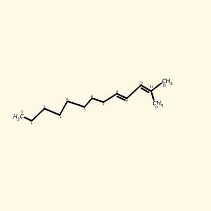 CCCCCCCC/C=C/C=C(C)C